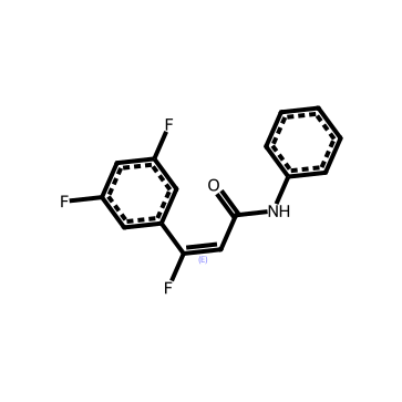 O=C(/C=C(/F)c1cc(F)cc(F)c1)Nc1ccccc1